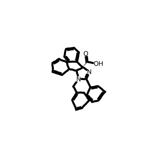 O=C(O)[C@]1(c2ccccc2)N=C(c2ccccc2)N(CC2=CC=CCC2)C1C1C=CC=CC1